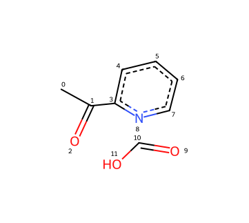 CC(=O)c1ccccn1.O=CO